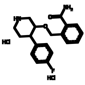 Cl.Cl.NC(=O)c1ccccc1COC1CNCCC1c1ccc(F)cc1